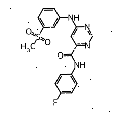 CS(=O)(=O)c1cccc(Nc2cc(C(=O)Nc3ccc(F)cc3)ncn2)c1